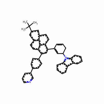 CC(C)(C)c1cc2ccc3c(C4=CC(n5c6ccccc6c6ccccc65)CC=C4)cc(-c4ccc(-c5cccnc5)cc4)c4ccc(c1)c2c34